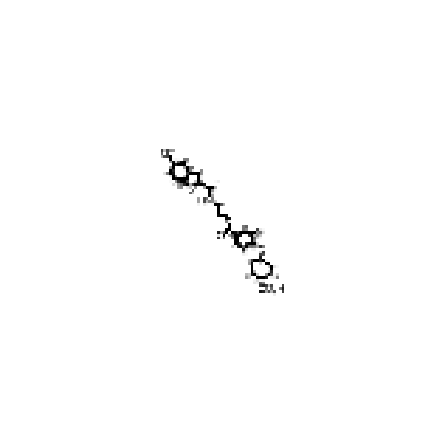 O=C(NCCNC(=O)c1cc2cc(Cl)ccc2s1)c1ccc(O[C@H]2CC[C@@H](C(=O)O)CC2)c(F)c1